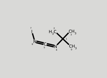 CC(C)(C)N=C=NI